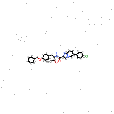 COC(=O)C(Cc1ccc(OCc2ccccc2)cc1)NC(=O)c1cn2cc(-c3ccc(Cl)cc3)ccc2n1